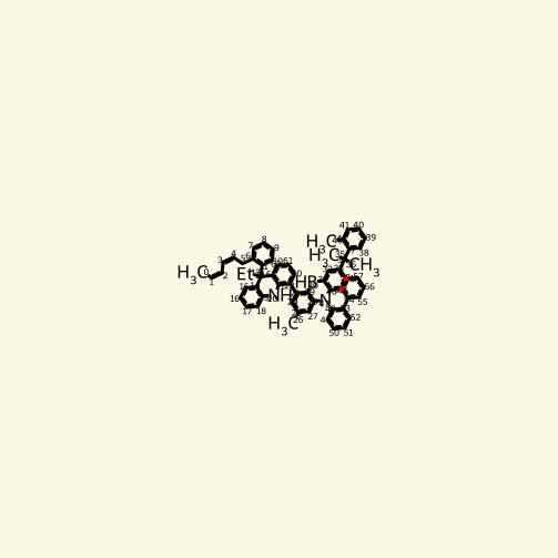 C/C=C\C=C/Cc1ccccc1C1(CC)c2ccccc2Nc2c(-c3cc(C)cc4c3Bc3cc(C(C)(C)c5ccccc5C)ccc3N4c3ccccc3-c3ccccc3)cccc21